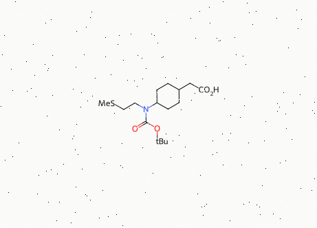 CSCCN(C(=O)OC(C)(C)C)C1CCC(CC(=O)O)CC1